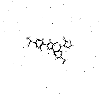 CSc1ncc(-c2sc(-c3ccc(C(=O)O)cc3C)nc2C)c(CN2C(=O)OC[C@@H]2C)n1